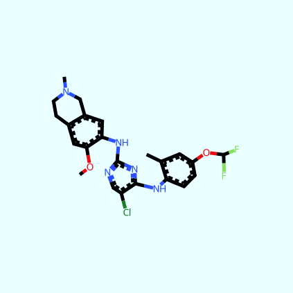 COc1cc2c(cc1Nc1ncc(Cl)c(Nc3ccc(OC(F)F)cc3C)n1)CN(C)CC2